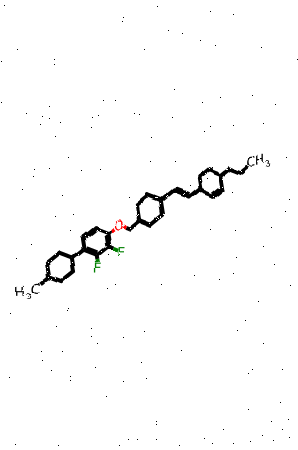 CCCC1C=CC(/C=C/C2CCC(COc3ccc(C4CCC(C)CC4)c(F)c3F)CC2)CC1